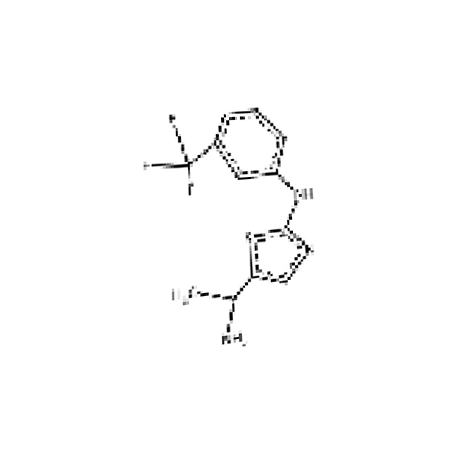 CC(N)c1cnc(Nc2cccc(C(F)(F)F)c2)s1